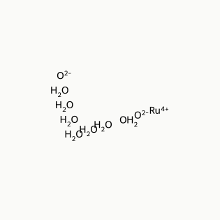 O.O.O.O.O.O.O.[O-2].[O-2].[Ru+4]